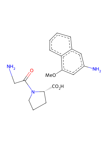 COc1cc(N)cc2ccccc12.NCC(=O)N1CCC[C@H]1C(=O)O